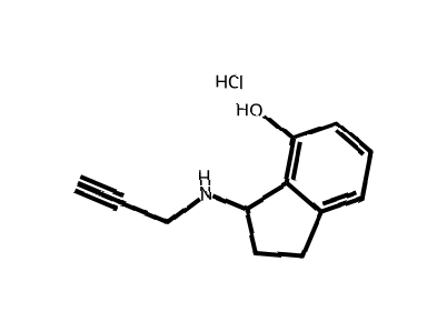 C#CCNC1CCc2cccc(O)c21.Cl